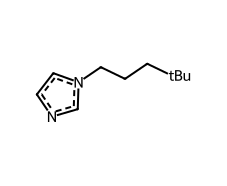 CC(C)(C)CCCn1ccnc1